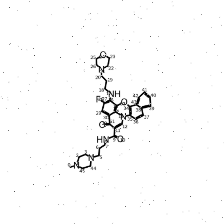 CN1CCN(CCCNC(=O)c2cn3c4c(c(NCCCN5CCOCC5)c(F)cc4c2=O)Oc2c-3ccc3ccccc23)CC1